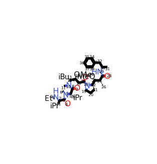 CCNC(C(=O)N(C)[C@H](C(=O)N(C)C([C@@H](C)CC)[C@@H](CC(=O)N1CCC[C@H]1[C@H](OC)[C@@H](C)C(=O)NC(C)Cc1ccccc1)OC)C(C)C)C(C)C